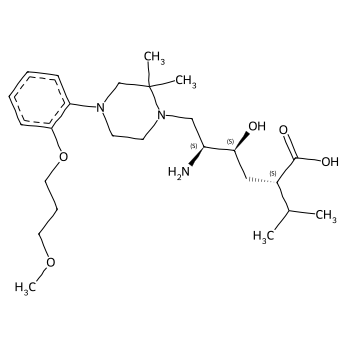 COCCCOc1ccccc1N1CCN(C[C@H](N)[C@@H](O)C[C@H](C(=O)O)C(C)C)C(C)(C)C1